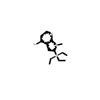 [2H]c1ccnc2c1cc([Si](CC)(CC)CC)n2C